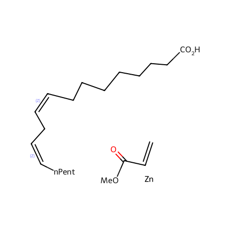 C=CC(=O)OC.CCCCC/C=C\C/C=C\CCCCCCCC(=O)O.[Zn]